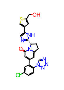 O=c1cc(-c2cc(Cl)ccc2-n2cnnn2)cc2n1[C@H](c1ncc(-c3csc(CO)c3)[nH]1)CC2